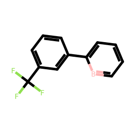 FC(F)(F)c1cccc(-c2bcccc2)c1